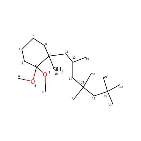 COC1(OC)CCCCC1([SiH3])CC(C)CC(C)(C)CC(C)(C)C